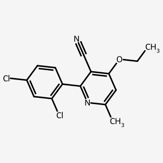 CCOc1cc(C)nc(-c2ccc(Cl)cc2Cl)c1C#N